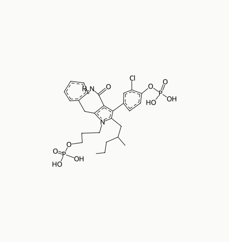 CCCC(C)Cc1c(-c2ccc(OP(=O)(O)O)c(Cl)c2)c(C(N)=O)c(Cc2ccccc2)n1CCCOP(=O)(O)O